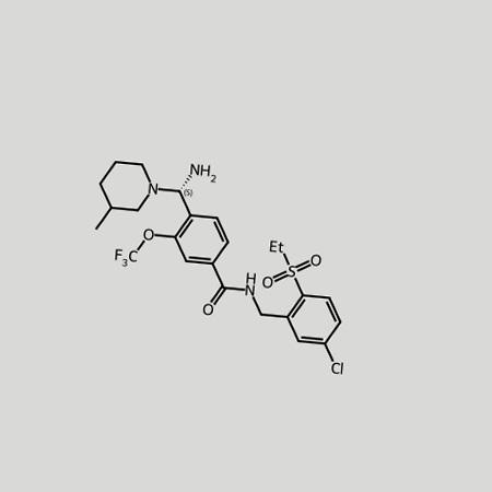 CCS(=O)(=O)c1ccc(Cl)cc1CNC(=O)c1ccc([C@@H](N)N2CCCC(C)C2)c(OC(F)(F)F)c1